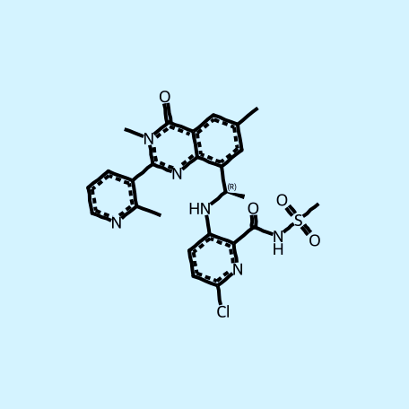 Cc1cc([C@@H](C)Nc2ccc(Cl)nc2C(=O)NS(C)(=O)=O)c2nc(-c3cccnc3C)n(C)c(=O)c2c1